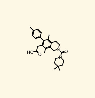 Cc1ccc(-c2c(C)c3c(c(C)c2CC(=O)O)CN(C(=O)N2CCC(C)(C)CC2)CC3)cc1